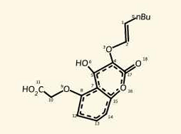 CCCC/C=C/Oc1c(O)c2c(OCC(=O)O)cccc2oc1=O